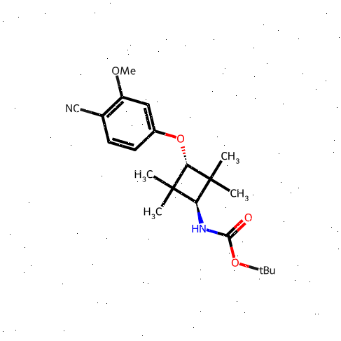 COc1cc(O[C@H]2C(C)(C)[C@H](NC(=O)OC(C)(C)C)C2(C)C)ccc1C#N